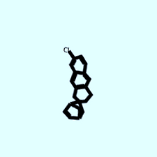 Clc1ccc2cc3c(cc2c1)CC1(CC3)CC2C=CC1C2